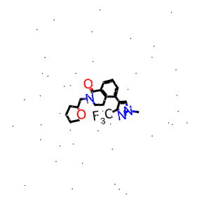 Cn1cc(-c2cccc3c2CCN(CC2CCCCO2)C3=O)c(C(F)(F)F)n1